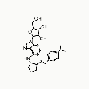 CC(C)c1ccc(COC2CCC[C@@H]2Nc2ncnc3c2ncn3C2OC(CO)[C@@H](O)[C@H]2O)cc1